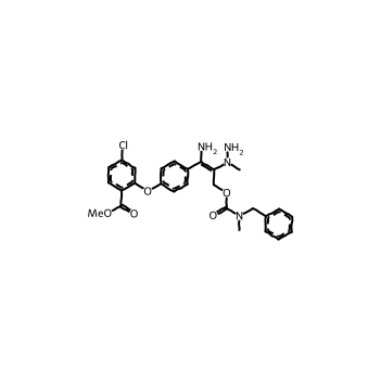 COC(=O)c1ccc(Cl)cc1Oc1ccc(/C(N)=C(\COC(=O)N(C)Cc2ccccc2)N(C)N)cc1